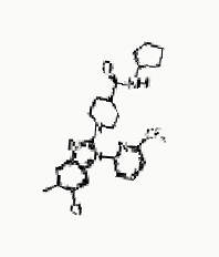 Cc1cc2nc(N3CCC(C(=O)NC4CCCC4)CC3)n(-c3cccc(C(F)(F)F)n3)c2cc1Cl